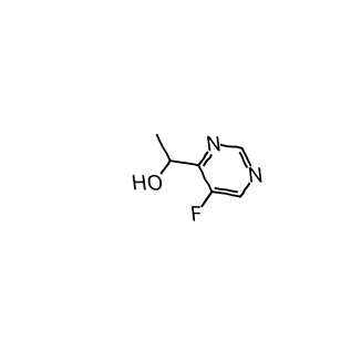 CC(O)c1ncncc1F